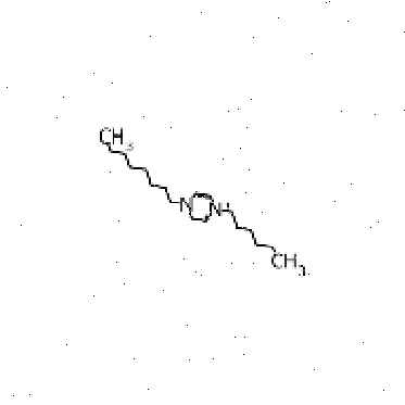 CCCCCCCCN1C=C[N+](CCCCCC)=CC1